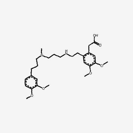 COc1ccc(CCCN(C)CCCNCCc2cc(OC)c(OC)cc2CC(=O)O)cc1OC